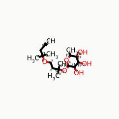 C#CCC(C)(C)OCCC(C)(C)OC1OC(C)C(O)C(O)C1O